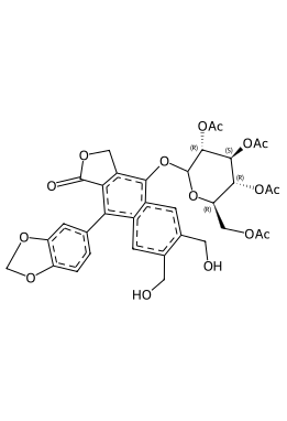 CC(=O)OC[C@H]1OC(Oc2c3c(c(-c4ccc5c(c4)OCO5)c4cc(CO)c(CO)cc24)C(=O)OC3)[C@H](OC(C)=O)[C@@H](OC(C)=O)[C@@H]1OC(C)=O